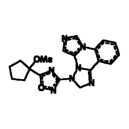 COC1(c2nc(N3CN=C4c5ccccc5-n5cncc5N43)no2)CCCC1